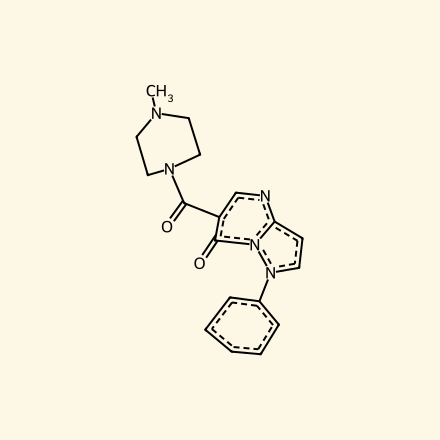 CN1CCN(C(=O)c2cnc3ccn(-c4ccccc4)n3c2=O)CC1